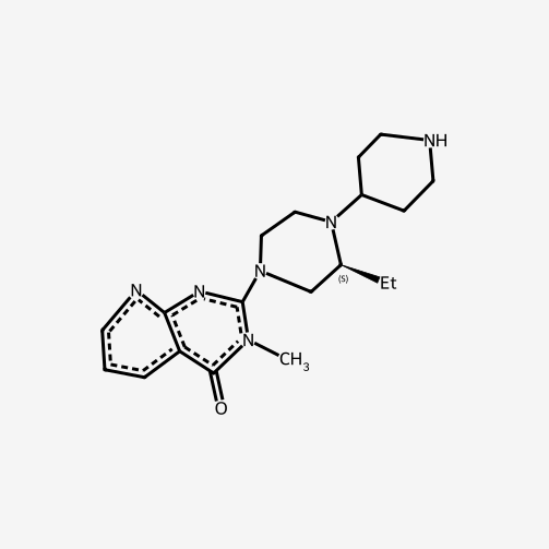 CC[C@H]1CN(c2nc3ncccc3c(=O)n2C)CCN1C1CCNCC1